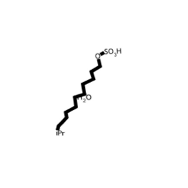 CC(C)CCCCCCCCCCOS(=O)(=O)O.O